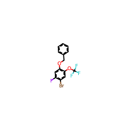 FC(F)(F)Oc1cc(Br)c(I)cc1OCc1ccccc1